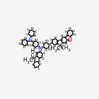 CC1(C)c2ccccc2-c2ccc(N(c3ccc(-c4ccc5c(c4)C(C)(C)c4cc6oc7ccccc7c6cc4-5)cc3)c3ccc(N(c4ccccc4)c4ccccc4)cc3)cc21